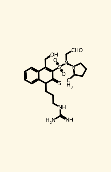 CC1CCCN1N(CC=O)S(=O)(=O)C1=C(CO)c2ccccc2C(CCCNC(=N)N)C1=S